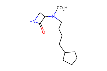 O=C1NCC1N(CCCCC1CCCC1)C(=O)O